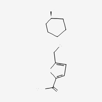 COC(=O)c1ccc(CN[C@H]2CC[C@H](C(C)(C)C)CC2)s1